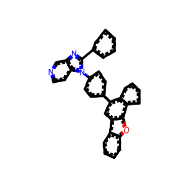 c1ccc(-c2nc3cnccc3n2-c2ccc(-c3cc4c5ccccc5oc4c4ccccc34)cc2)cc1